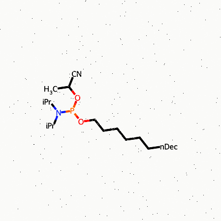 CCCCCCCCCCCCCCCCOP(OC(C)C#N)N(C(C)C)C(C)C